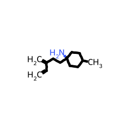 C=CC(=C)CCC1(N)CCC(C)CC1